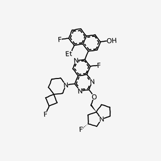 CCc1c(F)ccc2cc(O)cc(-c3ncc4c(N5CCCC6(CC(F)C6)C5)nc(OC[C@@]56CCCN5C[C@H](F)C6)nc4c3F)c12